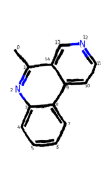 Cc1nc2ccccc2c2ccncc12